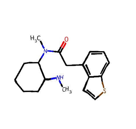 CNC1CCCCC1N(C)C(=O)Cc1cccc2sccc12